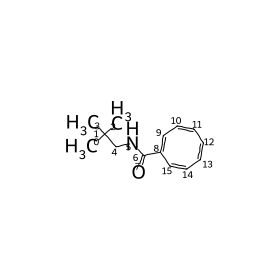 CC(C)(C)CNC(=O)C1=C/C=C\C=C/C=C\1